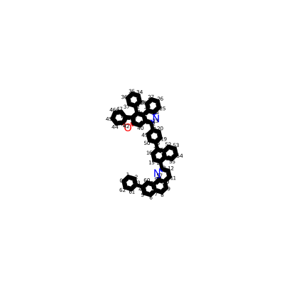 c1ccc(-c2ccc3ccc4ccc(-c5ccc(-c6ccc(-c7nc8ccccc8c8c(-c9ccccc9)c9c(cc78)oc7ccccc79)cc6)c6ccccc56)nc4c3c2)cc1